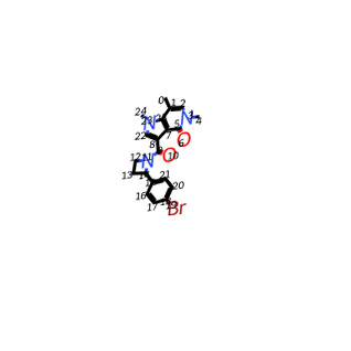 Cc1cn(C)c(=O)c2c(C(=O)N3CCC3c3ccc(Br)cc3)cn(C)c12